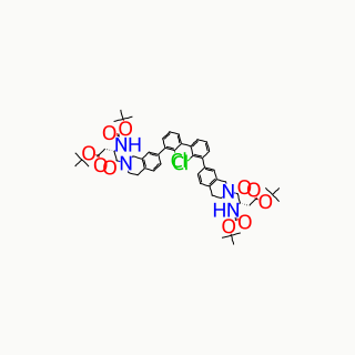 CC(C)(C)OC(=O)C[C@H](NC(=O)OC(C)(C)C)C(=O)N1CCc2ccc(-c3cccc(-c4cccc(-c5ccc6c(c5)CN(C(=O)[C@H](CC(=O)OC(C)(C)C)NC(=O)OC(C)(C)C)CC6)c4Cl)c3Cl)cc2C1